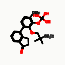 CCOC(=O)C(C)(C)COc1c(-c2cccc3c2CCC3=O)ccc(OC)c1OC(O)(O)O